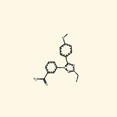 CCc1nc(-c2ccc(OC)cc2)n(-c2cccc(C(N)=O)c2)n1